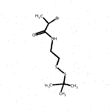 CC(Br)C(=O)NCCSSC(C)(C)C